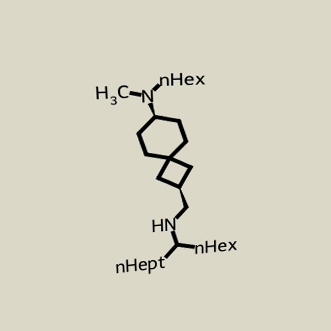 CCCCCCCC(CCCCCC)NC[C@H]1CC2(CC[C@H](N(C)CCCCCC)CC2)C1